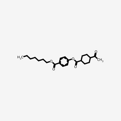 CCCCCCCOC(=O)c1ccc(OC(=O)C2CCC(C(C)=O)CC2)cc1